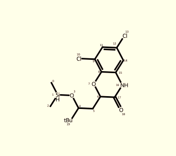 C[SiH](C)OC(CC1Oc2c(Cl)cc(Cl)cc2NC1=O)C(C)(C)C